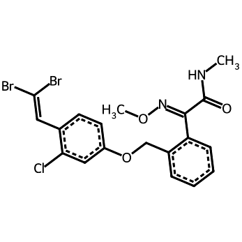 CNC(=O)/C(=N/OC)c1ccccc1COc1ccc(C=C(Br)Br)c(Cl)c1